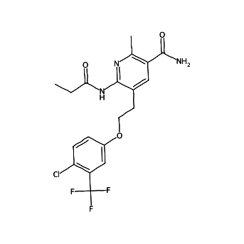 CCC(=O)Nc1nc(C)c(C(N)=O)cc1CCOc1ccc(Cl)c(C(F)(F)F)c1